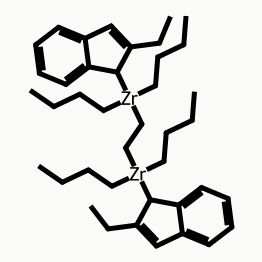 CCC[CH2][Zr]([CH2]CCC)([CH2][CH2][Zr]([CH2]CCC)([CH2]CCC)[CH]1C(CC)=Cc2ccccc21)[CH]1C(CC)=Cc2ccccc21